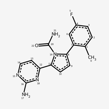 Cc1ccc(F)cc1-c1ccc(-c2ccnc(N)n2)n1C(N)=O